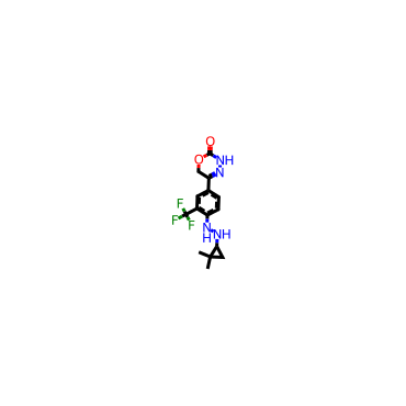 CC1(C)CC1NNc1ccc(C2=NNC(=O)OC2)cc1C(F)(F)F